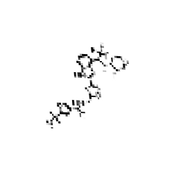 COC(C)(C)c1cc(C(=O)NCc2nc(-c3cc4c(C(N[C@H]5CCOC[C@H]5F)C(F)(F)F)cccc4[nH]3)no2)cs1